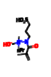 C=C(C)C(=O)N(CCCS(=O)(=O)O)[N+](C)(C)CCC.[OH-]